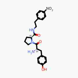 N[C@@H](Cc1ccc(O)cc1)C(=O)N1CCC[C@H]1C(=O)NCCc1ccc([N+](=O)[O-])cc1